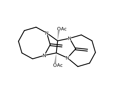 C=C1N2CCCCCN1[C@]1(OC(C)=O)N3CCCCCN(C3=C)[C@]21OC(C)=O